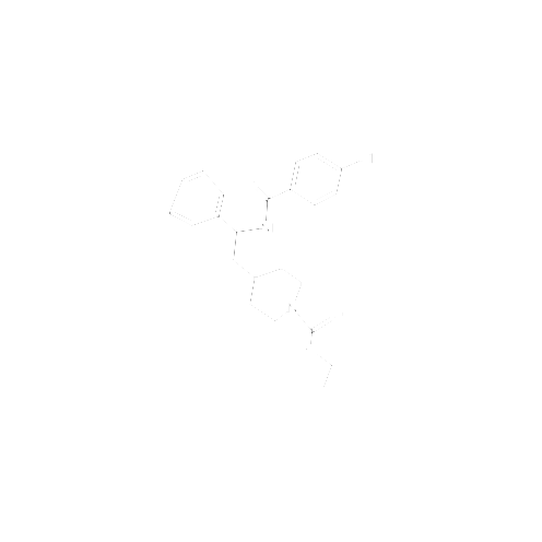 CCOC(=O)N1CCC(CC(NC(=O)c2ccc(Cl)cc2)c2ccccc2)CC1